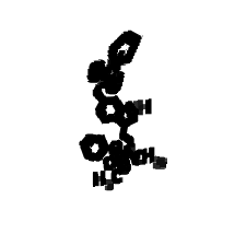 COP(=O)(Oc1ccccc1)N(C)CCc1c[nH]c2cc(CS(=O)(=O)N3CCCC3)ccc12